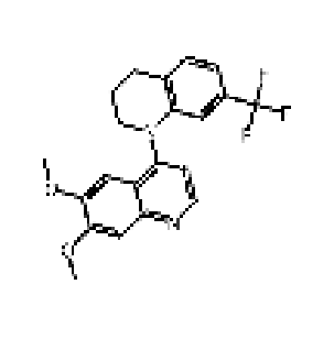 COc1cc2ncnc(N3CCCc4ccc(C(F)(F)F)cc43)c2cc1OC